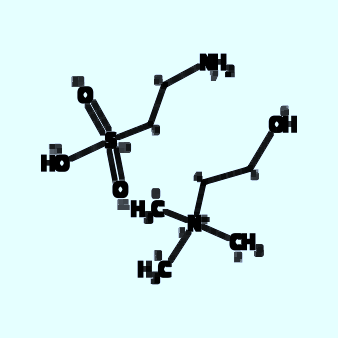 C[N+](C)(C)CCO.NCCS(=O)(=O)O